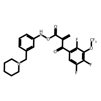 C=C(C(=O)ONc1cccc(CN2CCCCC2)c1)C(=O)c1cc(F)c(F)c(OC(F)(F)F)c1F